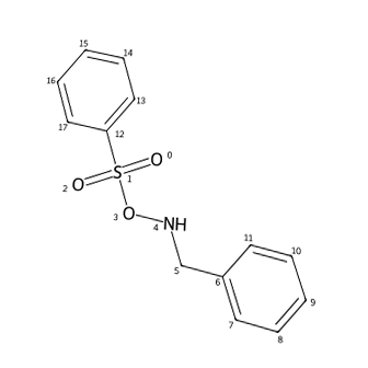 O=S(=O)(ONCc1ccccc1)c1ccccc1